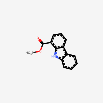 O=C(OS(=O)(=O)O)c1cccc2c1[nH]c1ccccc12